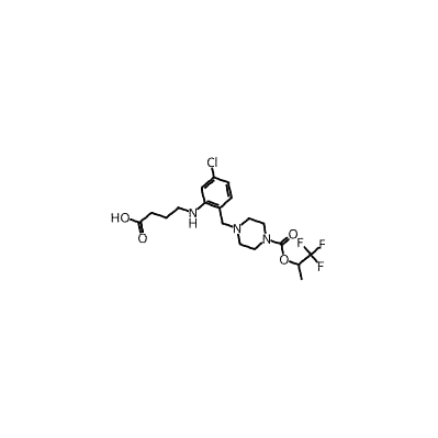 CC(OC(=O)N1CCN(Cc2ccc(Cl)cc2NCCCC(=O)O)CC1)C(F)(F)F